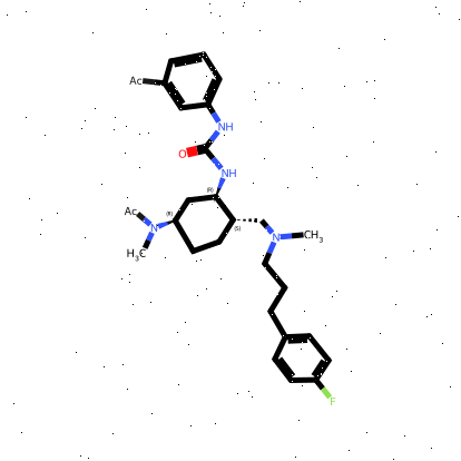 CC(=O)c1cccc(NC(=O)N[C@@H]2C[C@H](N(C)C(C)=O)CC[C@H]2CN(C)CCCc2ccc(F)cc2)c1